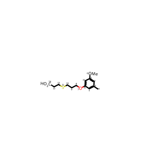 COc1cc(C)cc(OCCCSCCC(=O)O)c1